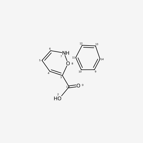 O=C(O)C1=CC=CNO1.c1ccccc1